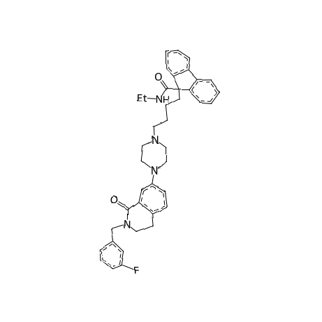 CCNC(=O)C1(CCCCN2CCN(c3ccc4c(c3)C(=O)N(Cc3cccc(F)c3)CC4)CC2)c2ccccc2-c2ccccc21